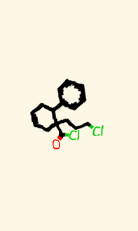 O=C(Cl)C1(CCCCl)CC=CCC1c1ccccc1